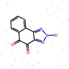 CCn1nc2c(n1)-c1ccccc1C(=O)C2=O